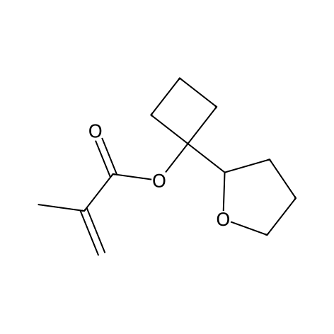 C=C(C)C(=O)OC1(C2CCCO2)CCC1